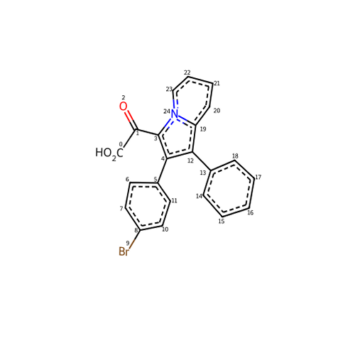 O=C(O)C(=O)c1c(-c2ccc(Br)cc2)c(-c2ccccc2)c2ccccn12